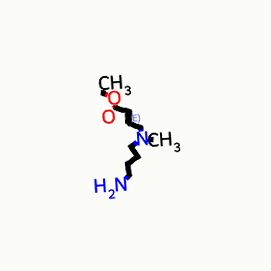 CCOC(=O)/C=C/CN(C)CCCCN